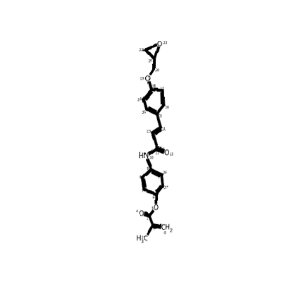 C=C(C)C(=O)Oc1ccc(NC(=O)C=Cc2ccc(OCC3CO3)cc2)cc1